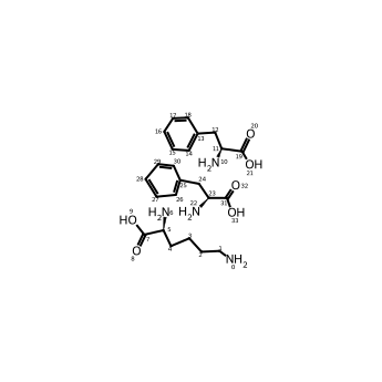 NCCCC[C@H](N)C(=O)O.N[C@@H](Cc1ccccc1)C(=O)O.N[C@@H](Cc1ccccc1)C(=O)O